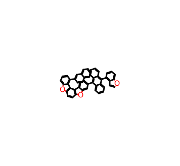 c1ccc2cc(-c3cccc4oc5ccc6oc7cc(-c8c9ccccc9c(-c9cccc%10occc9%10)c9ccccc89)ccc7c6c5c34)ccc2c1